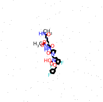 CNC(=O)/C=C/CC[C@H](NC(=O)OC)C(=O)Nc1cccn(Cc2cc3cc(F)cc(OCc4ccc(F)cc4F)c3n2C(=O)O)c1=O